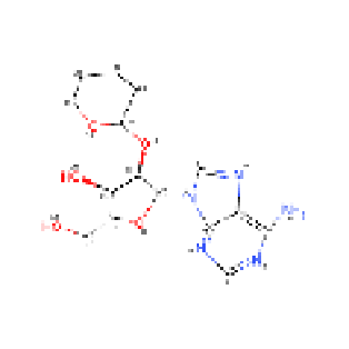 Nc1ncnc2c1ncn2[C@@H]1O[C@H](CO)[C@@H](O)[C@H]1OC1CCCCO1